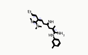 CC/C=C/C(=C/CC(=N)C/C(C)=C(/N)Nc1cccc(C)c1)C(=N\C)/N(C)C